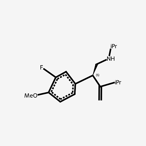 C=C(C(C)C)[C@H](CNC(C)C)c1ccc(OC)c(F)c1